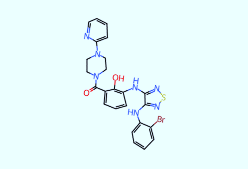 O=C(c1cccc(Nc2nsnc2Nc2ccccc2Br)c1O)N1CCN(c2ccccn2)CC1